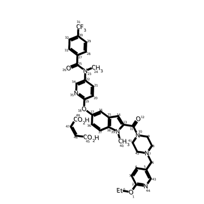 CCOc1ccc(CN2CCN(C(=O)c3cc4cc(Oc5ccc(N(C)C(=O)c6ccc(C(F)(F)F)cc6)cn5)ccc4n3C)CC2)cn1.O=C(O)/C=C\C(=O)O